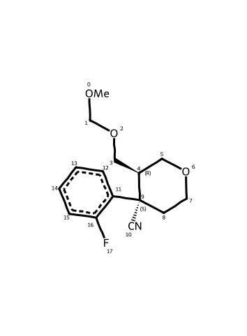 COCOC[C@H]1COCC[C@@]1(C#N)c1ccccc1F